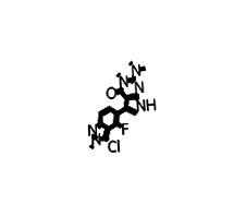 CN(C)c1nc2[nH]cc(-c3ccc4nn(C)c(Cl)c4c3F)c2c(=O)n1C